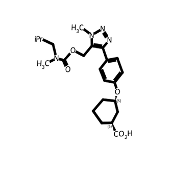 CC(C)CN(C)C(=O)OCc1c(-c2ccc(O[C@H]3CCC[C@H](C(=O)O)C3)cc2)nnn1C